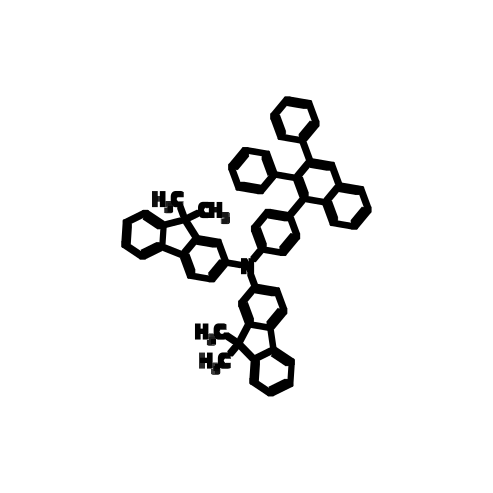 CC1(C)c2ccccc2-c2ccc(N(c3ccc(-c4c(-c5ccccc5)c(-c5ccccc5)cc5ccccc45)cc3)c3ccc4c(c3)C(C)(C)c3ccccc3-4)cc21